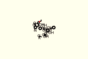 CCCC[C@]1(CC)CS(=O)(=O)c2ccc(N(C)C)cc2[C@@H](c2cccc(NC(=O)N[C@@H]3O[C@H](COS(=O)(=O)O)[C@@H](O)[C@H](OCc4ccccc4)[C@H]3O)c2)[C@H]1O.CC[O-].[K+]